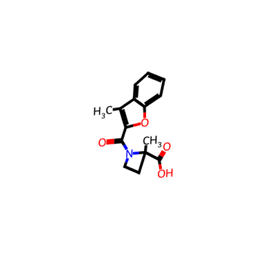 Cc1c(C(=O)N2CCC2(C)C(=O)O)oc2ccccc12